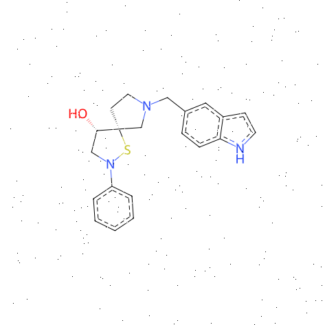 O[C@H]1CN(c2ccccc2)S[C@@]12CCN(Cc1ccc3[nH]ccc3c1)C2